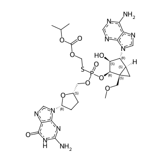 COC[C@]12C[C@@H]1[C@@H](n1cnc3c(N)ncnc31)[C@H](O)[C@@H]2OP(=O)(OC[C@@H]1CC[C@H](n2cnc3c(=O)[nH]c(N)nc32)O1)SCOC(=O)OC(C)C